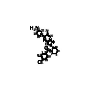 Cc1cc(C(=O)N2CCCC[C@H]2c2cc3nc(N4CC[C@H](N)C4)c(C)cn3n2)ccc1Cl